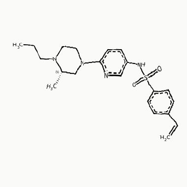 C=Cc1ccc(S(=O)(=O)Nc2ccc(N3CCN(CCC)[C@@H](C)C3)nc2)cc1